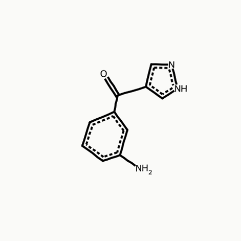 Nc1cccc(C(=O)c2cn[nH]c2)c1